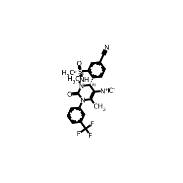 [C-]#[N+]C1=C(C)N(c2cccc(C(F)(F)F)c2)C(=O)N(C)[C@@H]1c1ccc(C#N)cc1[S@@](C)(=N)=O